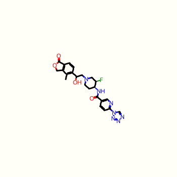 Cc1c(C(O)CN2CC[C@H](NC(=O)c3ccc(-n4cnnn4)nc3)[C@H](F)C2)ccc2c1COC2=O